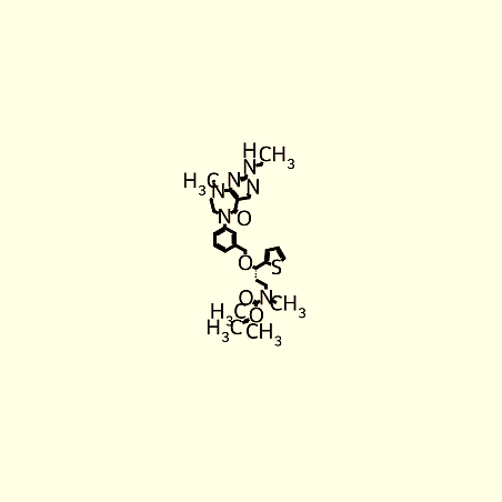 CCNc1ncc2c(n1)N(C)CCN(c1cccc(CO[C@@H](CCN(C)C(=O)OC(C)(C)C)c3cccs3)c1)C2=O